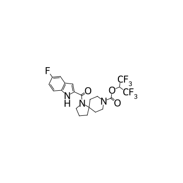 O=C(OC(C(F)(F)F)C(F)(F)F)N1CCC2(CCCN2C(=O)c2cc3cc(F)ccc3[nH]2)CC1